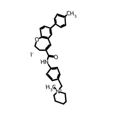 Cc1ccc(-c2ccc3c(c2)C=C(C(=O)Nc2ccc(C[N+]4(C)CCCCC4)cc2)CCO3)cc1.[I-]